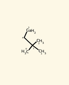 CC(C)(C)[CH2][GaH2]